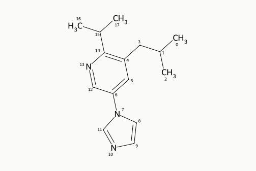 CC(C)Cc1cc(-n2ccnc2)cnc1C(C)C